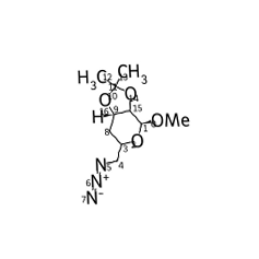 CO[C@H]1OC(CN=[N+]=[N-])C[C@@H]2OC(C)(C)OC12